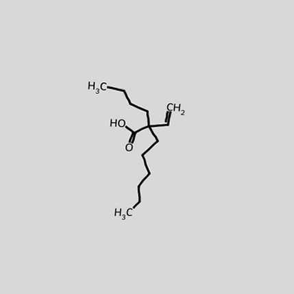 C=CC(CCCC)(CCCCCC)C(=O)O